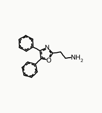 NCCc1nc(-c2ccccc2)c(-c2ccccc2)o1